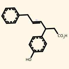 O=C(O)CC(/C=C/Cc1ccccc1)c1ccc(O)cc1